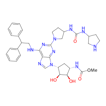 COC(=O)N[C@H]1C[C@@H](n2cnc3c(NCC(c4ccccc4)c4ccccc4)nc(N4CCC(NC(=O)NC5CCNC5)C4)nc32)[C@H](O)[C@@H]1O